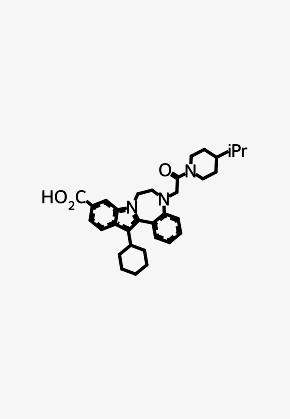 CC(C)C1CCN(C(=O)CN2CCn3c(c(C4CCCCC4)c4ccc(C(=O)O)cc43)-c3ccccc32)CC1